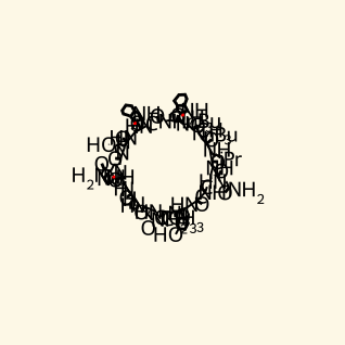 CCCC[C@H]1C(=O)N(C)[C@@H](CCCC)C(=O)N[C@@H](CC(C)C)C(=O)N[C@H](C(=O)NCC(N)=O)CCNCC(=O)N[C@@H](Cc2ccc(O)cc2)C(=O)N(C)[C@@H](C)C(=O)N[C@@H](CC(N)=O)C(=O)N2CCC[C@H]2C(=O)N[C@@H](Cc2cnc[nH]2)C(=O)N[C@@H](CCC(N)=O)C(=O)N2C[C@H](O)C[C@H]2C(=O)N[C@@H](Cc2c[nH]c3ccccc23)C(=O)NCC(=O)N[C@@H](Cc2c[nH]c3ccccc23)C(=O)N1C